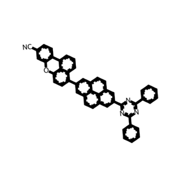 N#Cc1ccc2c(c1)Oc1ccc(-c3cc4ccc5cc(-c6nc(-c7ccccc7)nc(-c7ccccc7)n6)cc6ccc(c3)c4c56)c3cccc-2c13